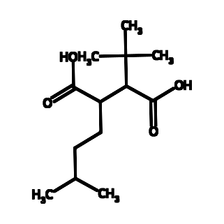 CC(C)CCC(C(=O)O)C(C(=O)O)C(C)(C)C